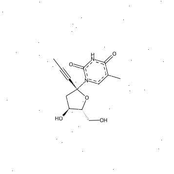 CC#C[C@]1(n2cc(C)c(=O)[nH]c2=O)C[C@H](O)[C@@H](CO)O1